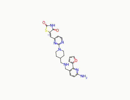 Nc1ccc(CNCC2CCN(c3nccc(/C=C4/SC(=O)NC4=O)n3)CC2)c(-c2ccco2)n1